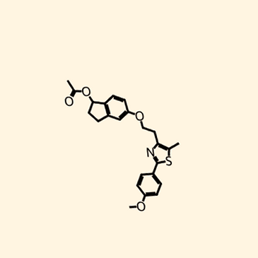 COc1ccc(-c2nc(CCOc3ccc4c(c3)CCC4OC(C)=O)c(C)s2)cc1